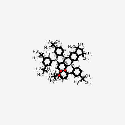 CC(C)(C)c1ccc(-c2cc(C(C)(C)C)ccc2N2c3cc4c(cc3B3c5ccc(C(C)(C)C)cc5N(c5cc(C(C)(C)C)cc(C(C)(C)C)c5)c5cc(C(C)(C)C)cc2c53)C(C)(C)CC4(C)C)cc1